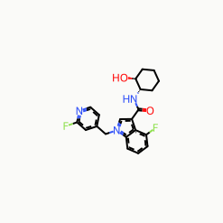 O=C(N[C@H]1CCCC[C@@H]1O)c1cn(Cc2ccnc(F)c2)c2cccc(F)c12